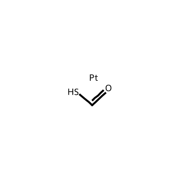 O=CS.[Pt]